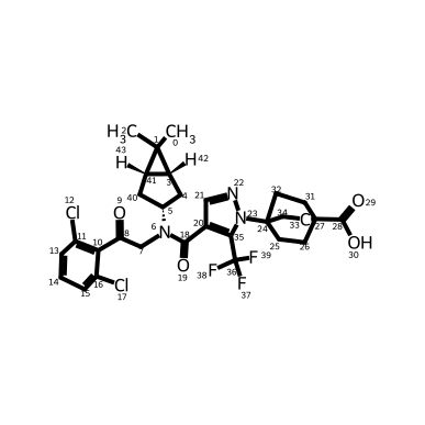 CC1(C)[C@@H]2C[C@H](N(CC(=O)c3c(Cl)cccc3Cl)C(=O)c3cnn(C45CCC(C(=O)O)(CC4)CC5)c3C(F)(F)F)C[C@@H]21